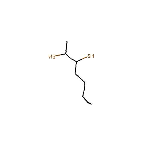 CCCCC(S)C(C)S